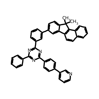 CC1(C)c2ccc(-c3cccc(-c4nc(-c5ccccc5)nc(-c5ccc(-c6cccnc6)cc5)n4)c3)cc2-c2ccc3ccccc3c21